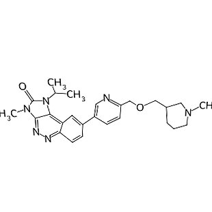 CC(C)n1c(=O)n(C)c2nnc3ccc(-c4ccc(COCC5CCCN(C)C5)nc4)cc3c21